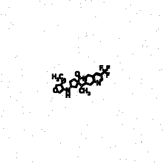 COC1COCC1N[C@@H]1CC[C@@]2(C1)C(=O)N1Cc3cc(C(F)(F)F)cnc3CC1C2C